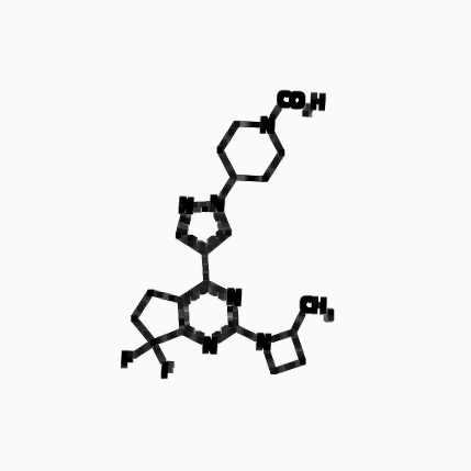 CC1CCN1c1nc(-c2cnn(C3CCN(C(=O)O)CC3)c2)c2c(n1)C(F)(F)CC2